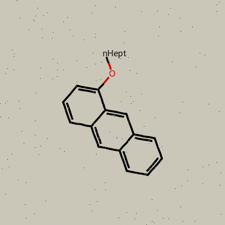 CCCCCCCOc1cccc2cc3ccccc3cc12